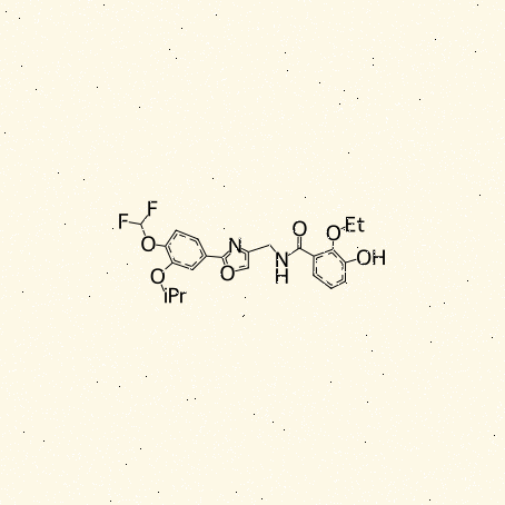 CCOc1c(O)cccc1C(=O)NCc1coc(-c2ccc(OC(F)F)c(OC(C)C)c2)n1